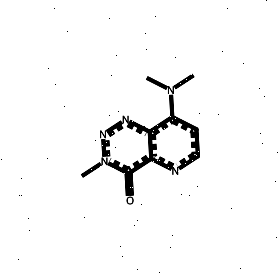 CN(C)c1ccnc2c(=O)n(C)nnc12